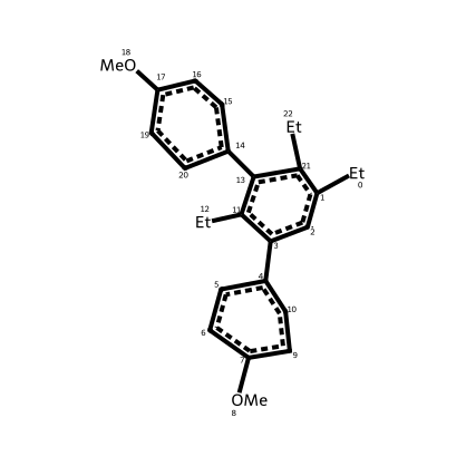 CCc1[c]c(-c2ccc(OC)cc2)c(CC)c(-c2ccc(OC)cc2)c1CC